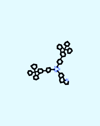 c1ccc(C2(c3ccccc3)c3ccccc3-c3cc(-c4ccc(-c5nc(-c6ccc(-c7ccc8c(c7)-c7ccccc7C8(c7ccccc7)c7ccccc7)cc6)nc(-c6ccc7c(ccc8cccnc87)c6)n5)cc4)ccc32)cc1